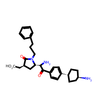 NC(C(=O)c1ccc([C@H]2CC[C@H](N)CC2)cc1)[C@@H]1C[C@@H](CC(=O)O)C(=O)N1CCCc1ccccc1